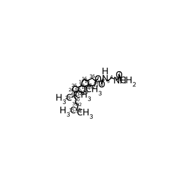 [CH2]C(=O)NCCNC(=O)OC1CC[C@@]2(C)C(=CCC3C2CC[C@@]2(C)C3CC[C@@H]2[C@H](C)CCCC(C)C)C1